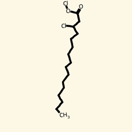 CCCCCCCCCCCCCC(Cl)CC(=O)OCl